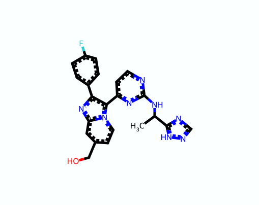 CC(Nc1nccc(-c2c(-c3ccc(F)cc3)nc3cc(CO)ccn23)n1)c1ncn[nH]1